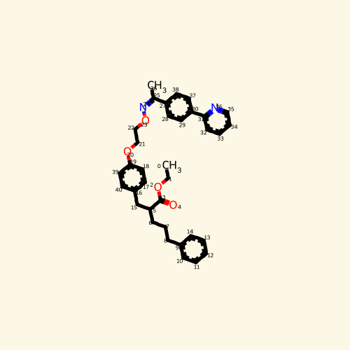 CCOC(=O)C(CCCc1ccccc1)Cc1ccc(OCCO/N=C(/C)c2ccc(-c3ccccn3)cc2)cc1